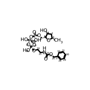 C[C@H]1C[C@@H](O)[C@@H](COP(=O)(O)OP(=O)(O)OP(=O)(O)OCCNC(=O)OCc2ccccc2)O1